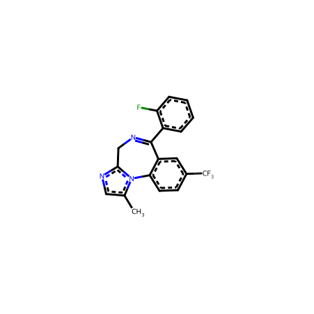 Cc1cnc2n1-c1ccc(C(F)(F)F)cc1C(c1ccccc1F)=NC2